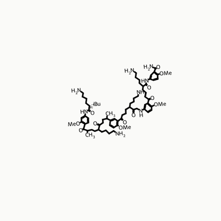 CCC(C)[C@@H](CCCCN)C(=O)Nc1ccc(C(=O)C(C)CCC(CCCCN)C(=O)CCC(C)c2ccc(OC)c(C(=O)CCCC(CCCCN)C(=O)CNc3ccc(OC)c(C(=O)CCCC(CCCCN)C(=O)Nc4ccc(OC)c(C(N)=O)c4)c3)c2)c(OC)c1